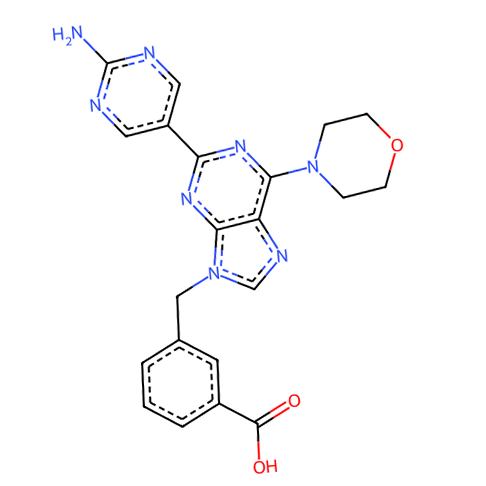 Nc1ncc(-c2nc(N3CCOCC3)c3ncn(Cc4cccc(C(=O)O)c4)c3n2)cn1